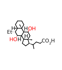 CC[C@H]1[C@@H](O)[C@@H]2[C@H]([C@@H](O)C[C@]3(C)[C@@H](C(C)CCC(=O)O)CC[C@@H]23)[C@@]2(C)CCCC[C@@H]12